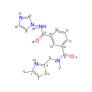 Cc1csc(CN(C)C(=O)c2cccc(C(=O)Nn3ccnc3)c2)n1